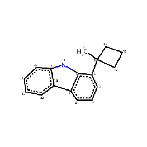 CC1(c2cccc3c2[N]c2ccccc2-3)CCC1